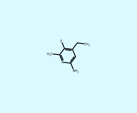 CCc1cc(N)nc(C)c1F